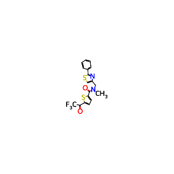 CN(Cc1csc(-c2ccccc2)n1)C(=O)c1ccc(C(=O)C(F)(F)F)s1